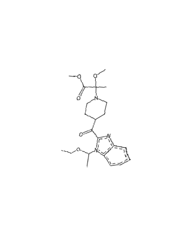 CCOC(C)n1c(C(=O)C2CCN(C(C)(OC)C(=O)OC)CC2)nc2ccccc21